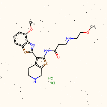 COCCNCCC(=O)Nc1sc2c(c1-c1nc3c(OC)cccc3s1)CCNC2.Cl.Cl